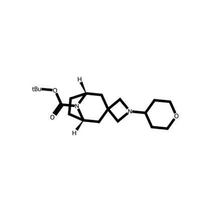 CC(C)(C)OC(=O)N1[C@@H]2CC[C@H]1CC1(C2)CN(C2CCOCC2)C1